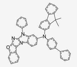 CC1(C)c2ccccc2-c2ccc(N(c3ccc(-c4ccccc4)cc3)c3ccc4c(c3)n(-c3ccccc3)c3nc5oc6ccccc6c5n43)cc21